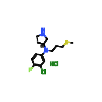 CSCCCN(c1ccc(F)c(Cl)c1)[C@H]1CCNC1.Cl